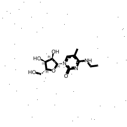 CCNc1nc(=O)n([C@@H]2O[C@H](CO)[C@@H](O)[C@H]2O)cc1C